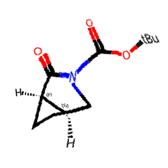 CC(C)(C)OC(=O)N1C[C@H]2C[C@H]2C1=O